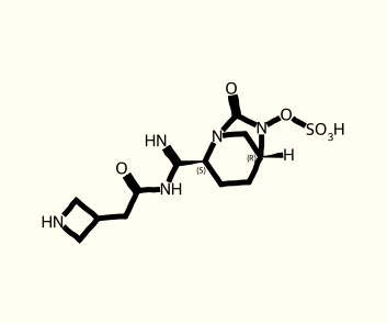 N=C(NC(=O)CC1CNC1)[C@@H]1CC[C@@H]2CN1C(=O)N2OS(=O)(=O)O